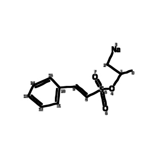 CC([CH2][Na])OS(=O)(=O)C=Cc1ccccc1